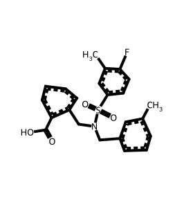 Cc1cccc(CN(Cc2ccccc2C(=O)O)S(=O)(=O)c2ccc(F)c(C)c2)c1